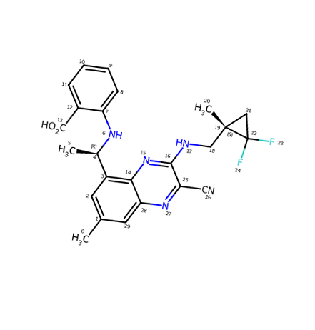 Cc1cc([C@@H](C)Nc2ccccc2C(=O)O)c2nc(NC[C@]3(C)CC3(F)F)c(C#N)nc2c1